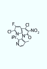 Cc1ccnc(C(C)C)c1-n1c(=O)c([N+](=O)[O-])c(Cl)c2cc(F)c(Cl)nc21